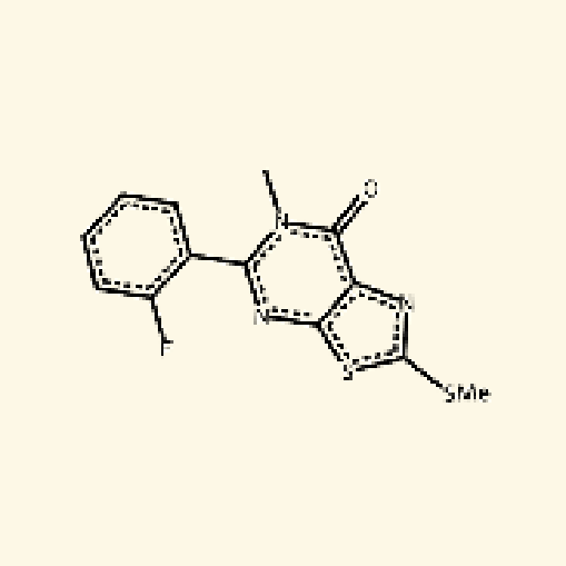 CSc1nc2c(=O)n(C)c(-c3ccccc3F)nc2s1